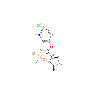 CS(=O)(=O)C[C@H](Oc1ccc(Cl)nc1)[C@H]1CCNC1